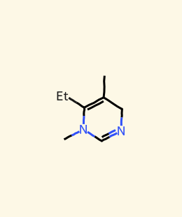 CCC1=C(C)CN=CN1C